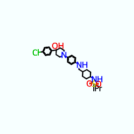 CC(C)S(=O)(=O)NC1CCC(CNc2ccc(N3CCC(O)(c4ccc(Cl)cc4)CC3)cc2)CC1